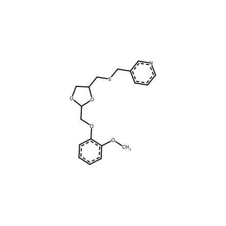 COc1ccccc1OCC1OCC(CSCc2cccnc2)O1